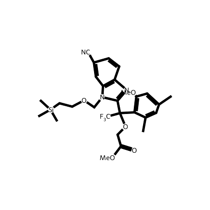 COC(=O)COC(c1c(C)cc(C)cc1OC)(c1nc2ccc(C#N)cc2n1COCC[Si](C)(C)C)C(F)(F)F